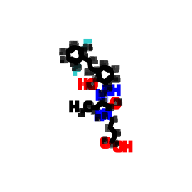 CC1=NN(CCCC(=O)O)C(=O)/C1=N\Nc1cccc(CCc2c(F)cccc2F)c1O